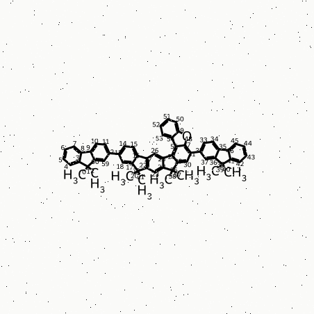 CC1(C)c2ccccc2-c2ccc(-c3ccc4c(c3)C(C)(C)c3cc5c(cc3-4)-c3c(cc(-c4ccc6c(c4)C(C)(C)c4ccccc4-6)c4oc6ccccc6c34)C5(C)C)cc21